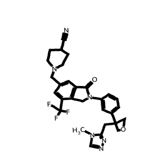 Cn1cnnc1CC1(c2cccc(N3Cc4c(cc(CN5CCC(C#N)CC5)cc4C(F)(F)F)C3=O)c2)COC1